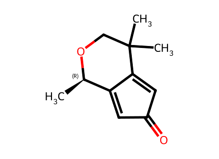 C[C@H]1OCC(C)(C)C2=CC(=O)C=C21